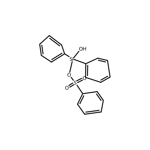 O=S(=O)(O[Si](O)(c1ccccc1)c1ccccc1)c1ccccc1